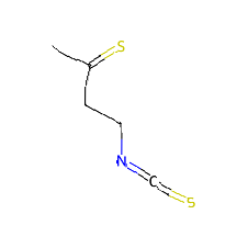 CC(=S)CCN=C=S